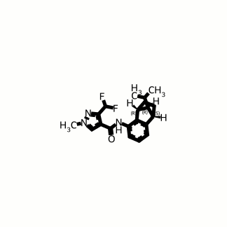 CC(C)[C@@H]1[C@@H]2CC[C@H]1c1c(NC(=O)c3cn(C)nc3C(F)F)cccc12